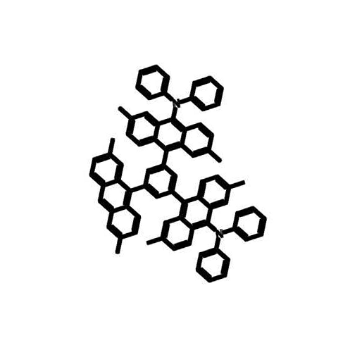 Cc1ccc2c(-c3cc(-c4c5cc(C)ccc5c(N(c5ccccc5)c5ccccc5)c5cc(C)ccc45)cc(-c4c5cc(C)ccc5c(N(c5ccccc5)c5ccccc5)c5cc(C)ccc45)c3)c3cc(C)ccc3cc2c1